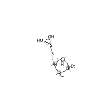 C=Cc1c(C)c2cc3nc(c(C)c4cc(C)c(cc5nc(cc1[nH]2)C(C)=C5CC)[nH]4)[C@@H](CCCSCCCS[C@H]1C[C@@H](O)C[C@@H](CO)O1)[C@@H]3C